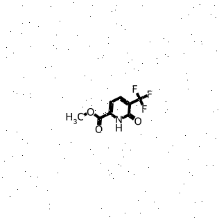 COC(=O)c1ccc(C(F)(F)F)c(=O)[nH]1